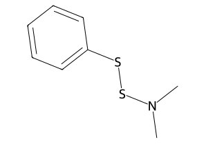 CN(C)SSc1ccccc1